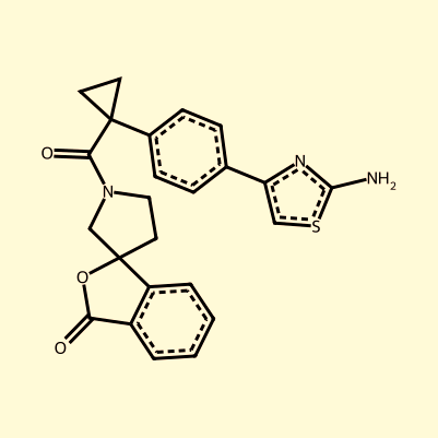 Nc1nc(-c2ccc(C3(C(=O)N4CCC5(C4)OC(=O)c4ccccc45)CC3)cc2)cs1